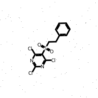 O=S(=O)(CCc1ccccc1)c1c(Cl)nc(Cl)nc1Cl